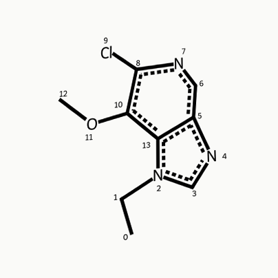 CCn1cnc2cnc(Cl)c(OC)c21